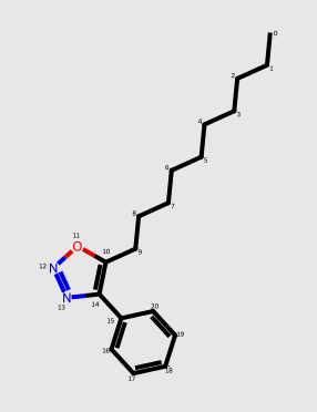 CCCCCCCCCCc1onnc1-c1cc[c]cc1